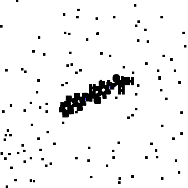 O=C(/C=C/c1ccc(C(=O)N/N=C/c2ccc3c(c2)Cc2ccccc2-3)cc1)NO